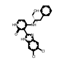 O=c1[nH]ccc(N[C@H](CO)Cc2ccccc2)c1-c1nc2cc(Cl)c(Cl)cc2[nH]1